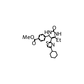 CCC1=C(c2nc(C3CCCCC3)cs2)C(c2ccc(C(=O)OC)cc2)NC(=O)N1